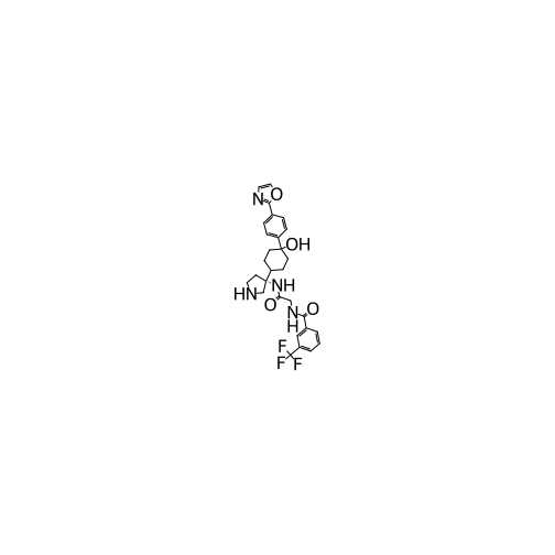 O=C(CNC(=O)c1cccc(C(F)(F)F)c1)N[C@@]1(C2CCC(O)(c3ccc(-c4ncco4)cc3)CC2)CCNC1